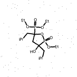 CCOP1(=O)OC(CC(C)C)(P(=O)(OCC)OCC)CC1(O)CC(C)C